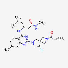 C=CC(=O)N1CC2(C1)CN(c1nc3c(c(NC(CC(=O)NC)CC(C)C)n1)CCC(C)C3)CC2F